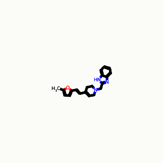 Cc1ccc(C=CC2=CCN(Cc3nc4ccccc4[nH]3)CC2)o1